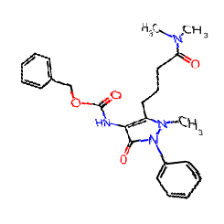 CN(C)C(=O)CCCc1c(NC(=O)OCc2ccccc2)c(=O)n(-c2ccccc2)n1C